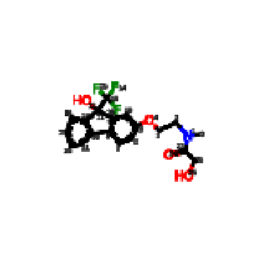 CN(CCOc1ccc2c(c1)C(O)(C(F)(F)F)c1ccccc1-2)C(=O)CO